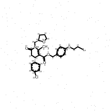 CC1=C(C(=O)OCc2ccc(OCCI)cc2)[C@H](c2ccc(Cl)cc2)CC(=O)N1C[C@H]1CCCO1